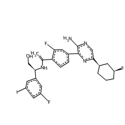 C=C(N[C@H](CO)c1cc(F)cc(I)c1)c1ccc(-c2nc([C@@H]3CCC[C@H](F)C3)cnc2N)cc1F